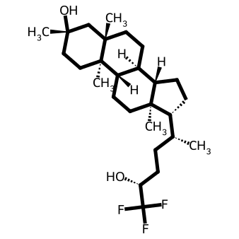 C[C@H](CC[C@@H](O)C(F)(F)F)[C@H]1CC[C@H]2[C@@H]3CC[C@@]4(C)C[C@@](C)(O)CC[C@]4(C)[C@H]3CC[C@]12C